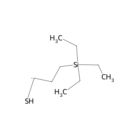 CC[Si](CC)(CC)CC[CH]S